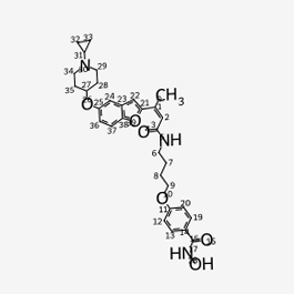 C/C(=C/C(=O)NCCCCOc1ccc(C(=O)NO)cc1)c1cc2cc(OC3CCN(C4CC4)CC3)ccc2o1